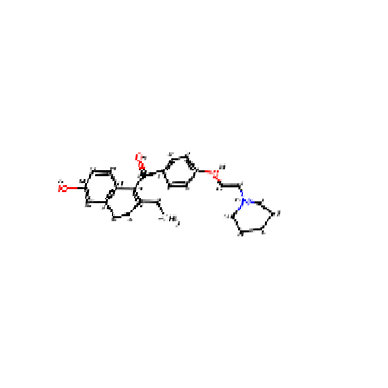 CCC1=C(C(=O)c2ccc(OCCN3CCCCC3)cc2)c2ccc(O)cc2CC1